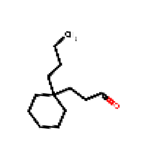 CCCCC1(CCC=O)CCCCC1